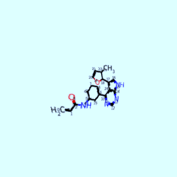 C=CC(=O)NC1CCC=C(c2ncnc3[nH]cc(C4OC=CC4C)c23)C1